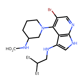 CCC(CC)CNc1c[nH]c2ncc(Br)c(N3CCCC(NC(=O)O)C3)c12